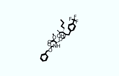 CCCC[C@H]([C@H](COC[C@H](NC(=O)OCc1ccccc1)C(=O)OC)Cc1ccc(C(F)(F)F)cc1)[C@H](C)O